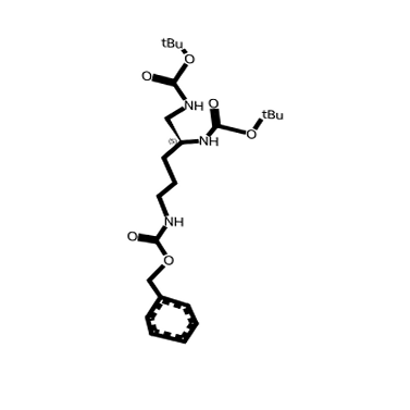 CC(C)(C)OC(=O)NC[C@H](CCCNC(=O)OCc1ccccc1)NC(=O)OC(C)(C)C